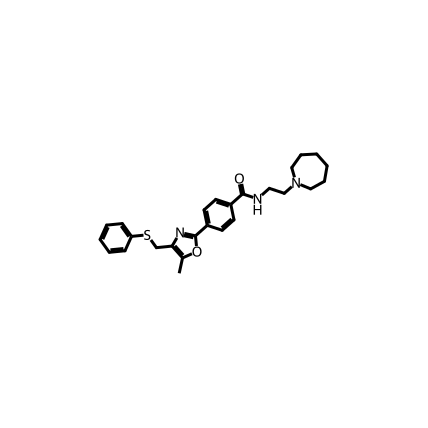 Cc1oc(-c2ccc(C(=O)NCCN3CCCCCC3)cc2)nc1CSc1ccccc1